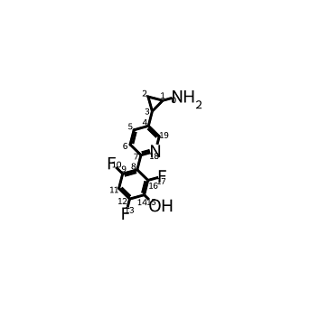 NC1CC1c1ccc(-c2c(F)cc(F)c(O)c2F)nc1